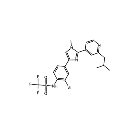 CC(C)Cc1cc(-c2nc(-c3ccc(NS(=O)(=O)C(F)(F)F)c(Br)c3)cn2C)ccn1